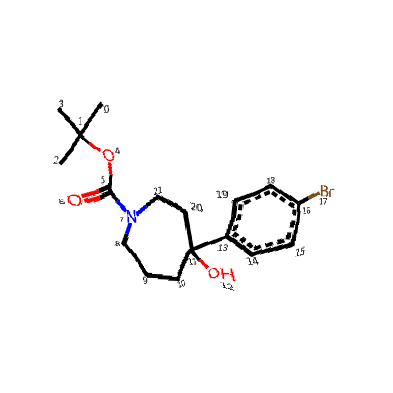 CC(C)(C)OC(=O)N1CCCC(O)(c2ccc(Br)cc2)CC1